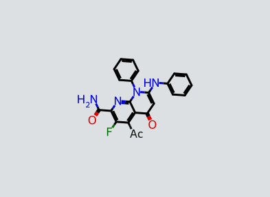 CC(=O)c1c(F)c(C(N)=O)nc2c1c(=O)cc(Nc1ccccc1)n2-c1ccccc1